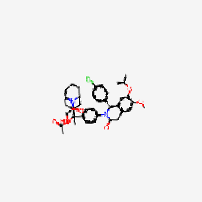 COc1cc2c(cc1OC(C)C)[C@H](c1ccc(Cl)cc1)N(c1ccc(C(C)(O)C3CC4CCCC(C3)N4C(=O)COC(C)=O)cc1)C(=O)C2